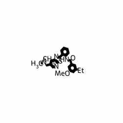 CCc1cc(OC)cc(C(=O)Nc2ccccc2-c2nc3cc(CN(C)C)cnc3s2)c1